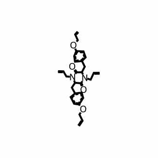 C=CCOc1ccc(CC2C(=O)N(CC=C)C(Cc3ccc(OCC=C)cc3)C(=O)N2CC=C)cc1